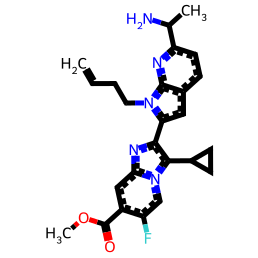 C=CCCn1c(-c2nc3cc(C(=O)OC)c(F)cn3c2C2CC2)cc2ccc(C(C)N)nc21